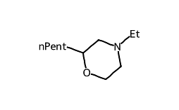 CCCCCC1CN(CC)CCO1